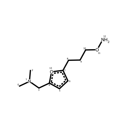 CN(C)Cc1ccc(CCCON)o1